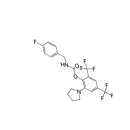 O=C(NCc1ccc(F)cc1)Oc1c(N2CCCC2)cc(C(F)(F)F)cc1C(F)(F)F